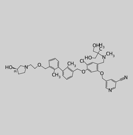 Cc1c(COCCN2CC[C@@H](O)C2)cccc1-c1cccc(COc2cc(OCc3cncc(C#N)c3)c(CN(C)C(C)(CO)CO)cc2Cl)c1C